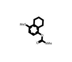 CNC(=O)Oc1ccc(SC)c2c1CCCC2